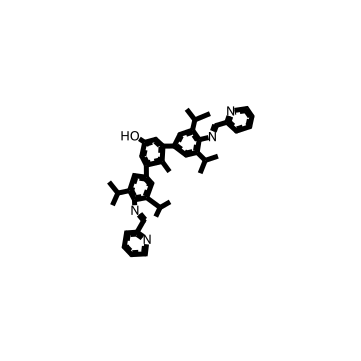 Cc1c(-c2cc(C(C)C)c(N=Cc3ccccn3)c(C(C)C)c2)cc(O)cc1-c1cc(C(C)C)c(N=Cc2ccccn2)c(C(C)C)c1